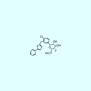 OC[C@H]1OC(c2ccc(Cl)c(Cc3ccc(-c4ccccc4)s3)c2)[C@H](O)[C@@H](O)[C@@H]1F